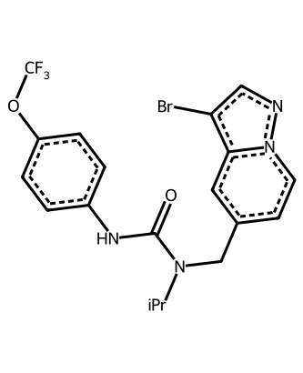 CC(C)N(Cc1ccn2ncc(Br)c2c1)C(=O)Nc1ccc(OC(F)(F)F)cc1